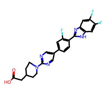 O=C(O)CC1CCN(c2ncc(-c3ccc(-c4nc5cc(F)c(F)cc5[nH]4)c(F)c3)cn2)CC1